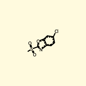 CS(=O)(=O)c1nc2ccc(Cl)cc2o1